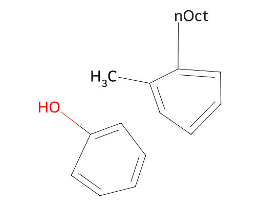 CCCCCCCCc1ccccc1C.Oc1ccccc1